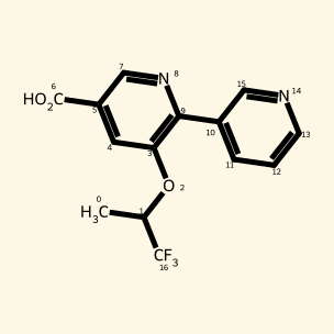 CC(Oc1cc(C(=O)O)cnc1-c1cccnc1)C(F)(F)F